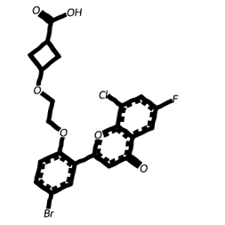 O=C(O)C1CC(OCCOc2ccc(Br)cc2-c2cc(=O)c3cc(F)cc(Cl)c3o2)C1